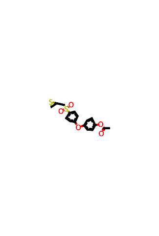 CC(=O)Oc1ccc(Oc2ccc(S(=O)(=O)CC3CS3)cc2)cc1